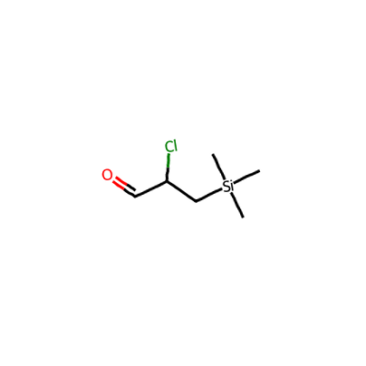 C[Si](C)(C)CC(Cl)C=O